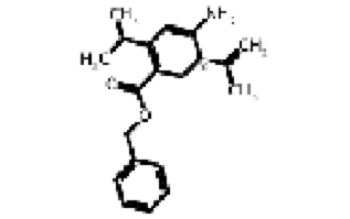 C=C(C)[C@H]1CC(C(=O)OCc2ccccc2)=C(C(C)C)C=C1N